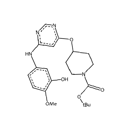 COc1ccc(Nc2cc(OC3CCN(C(=O)OC(C)(C)C)CC3)ncn2)cc1O